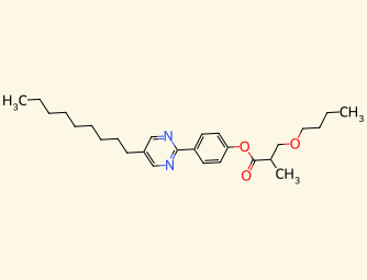 CCCCCCCCCc1cnc(-c2ccc(OC(=O)C(C)COCCCC)cc2)nc1